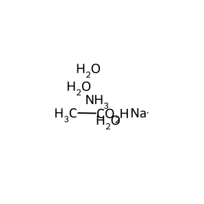 CC(=O)O.N.O.O.O.[Na]